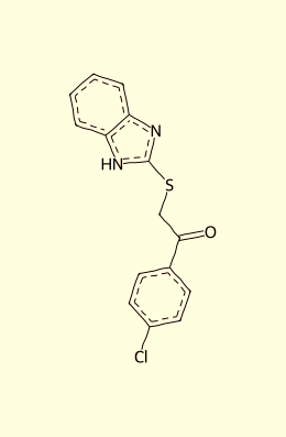 O=C(CSc1nc2ccccc2[nH]1)c1ccc(Cl)cc1